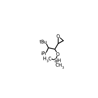 CC(C)C(C(O[SiH](C)C)C1CO1)C(C)(C)C